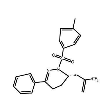 C=C(C[C@@H]1CCC(c2ccccc2)=NN1S(=O)(=O)c1ccc(C)cc1)C(F)(F)F